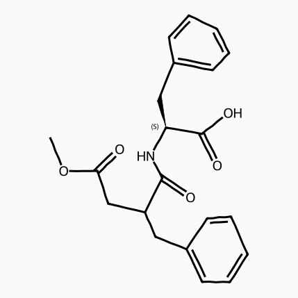 COC(=O)CC(Cc1ccccc1)C(=O)N[C@@H](Cc1ccccc1)C(=O)O